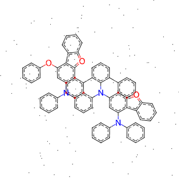 c1ccc(Oc2cc(N(c3ccccc3)c3cccc(N(c4cc(N(c5ccccc5)c5ccccc5)c5c(c4)oc4ccccc45)c4c(-c5ccccc5)cccc4-c4ccccc4)c3)cc3oc4ccccc4c23)cc1